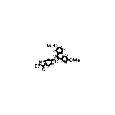 CCN(O)C(=O)N1CCC(c2nc(-c3cccc(OC)c3)c(-c3ccc(OC)cc3)o2)CC1